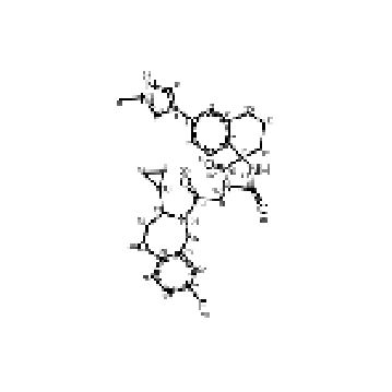 Cn1cc(-c2ccc3c(c2)CCCC32NC(=O)N(CC(=O)N3Cc4cc(F)ccc4OC[C@H]3C3CC3)C2=O)cn1